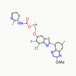 COc1cnc2c(-c3nc4c(Cl)c(F)c(OC[C@@H](C)OC(=O)Nc5cccnc5C)cc4s3)cc(C)cc2n1